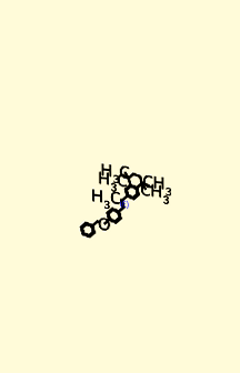 C/C(=C\c1ccc(OCc2ccccc2)cc1)c1ccc2c(c1)C(C)(C)CCC2(C)C